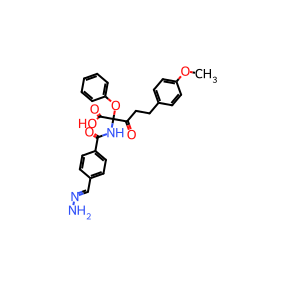 COc1ccc(CCC(=O)C(NC(=O)c2ccc(C=NN)cc2)(Oc2ccccc2)C(=O)O)cc1